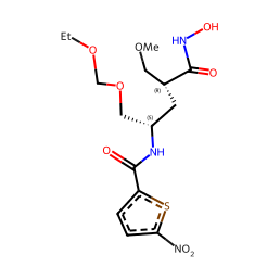 CCOCOC[C@H](C[C@H](COC)C(=O)NO)NC(=O)c1ccc([N+](=O)[O-])s1